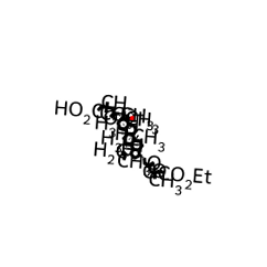 C=C(C)[C@@H]1C[C@@H](CCC(=O)OC(C)OC(=O)OCC)C2CC[C@]3(C)[C@H](CC[C@@H]4[C@@]5(C)CC[C@H](OC(=O)CC(C)(C)CC(=O)O)C(C)(C)[C@@H]5CC[C@]43C)[C@H]21